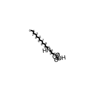 CCCCCCCCCCCCNCCCOS(=O)(=O)O